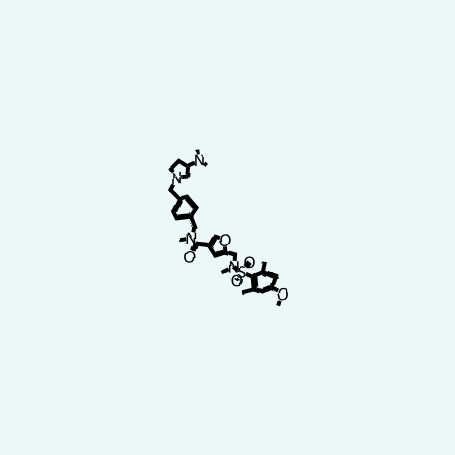 COc1cc(C)c(S(=O)(=O)N(C)Cc2cc(C(=O)N(C)Cc3ccc(CN4CCC(N(C)C)C4)cc3)co2)c(C)c1